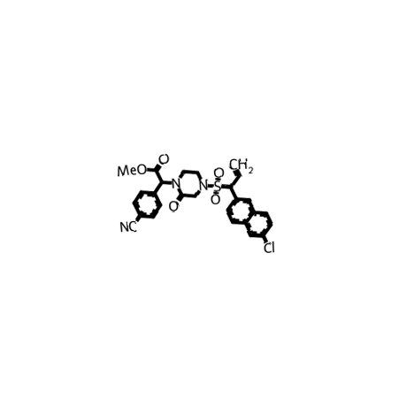 C=CC(c1ccc2cc(Cl)ccc2c1)S(=O)(=O)N1CCN(C(C(=O)OC)c2ccc(C#N)cc2)C(=O)C1